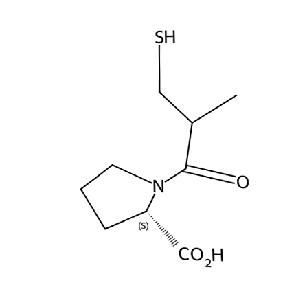 CC(CS)C(=O)N1CCC[C@H]1C(=O)O